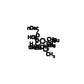 CCCCCCCCCCCCOP(O)Oc1ccc(C(C)(C)CC(C)(C)C)c(-c2c(C(C)(C)C)cc(C)cc2C(C)(C)C)c1C(C)(C)CC(C)(C)C